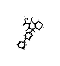 CC1=C(C(=O)O)N(C)C2=C(CCCC2)C1(C)c1ccc(-c2ccccc2)cc1